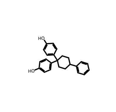 Oc1ccc(C2(c3ccc(O)cc3)CCC(c3ccccc3)CC2)cc1